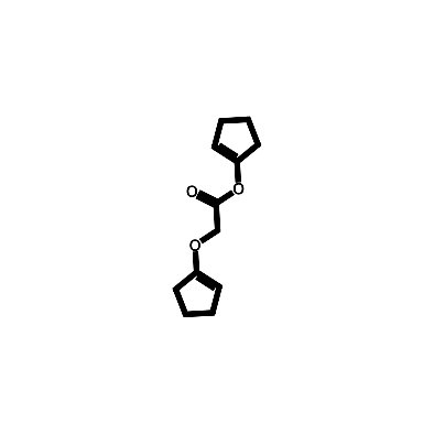 O=C(COC1=CCCC1)OC1=CCCC1